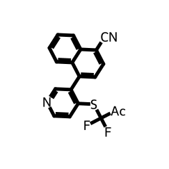 CC(=O)C(F)(F)Sc1ccncc1-c1ccc(C#N)c2ccccc12